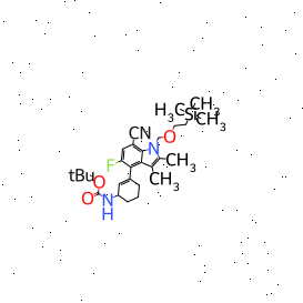 Cc1c(C)n(COCC[Si](C)(C)C)c2c(C#N)cc(F)c(C3=CC(NC(=O)OC(C)(C)C)CCC3)c12